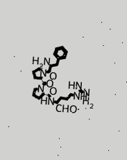 N=C(N)NCCC[C@@H]([C]=O)NC(=O)[C@@H]1CCCN1C(=O)[C@@H]1CCCN1C(=O)[C@@H](N)Cc1ccccc1